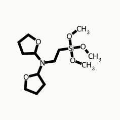 CO[Si](CCN(C1CCCO1)C1CCCO1)(OC)OC